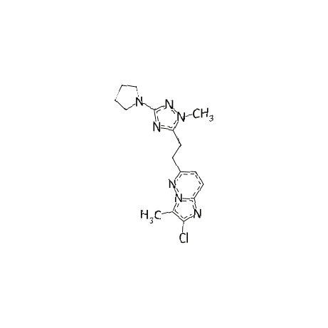 Cc1c(Cl)nc2ccc(CCc3nc(N4CCCC4)nn3C)nn12